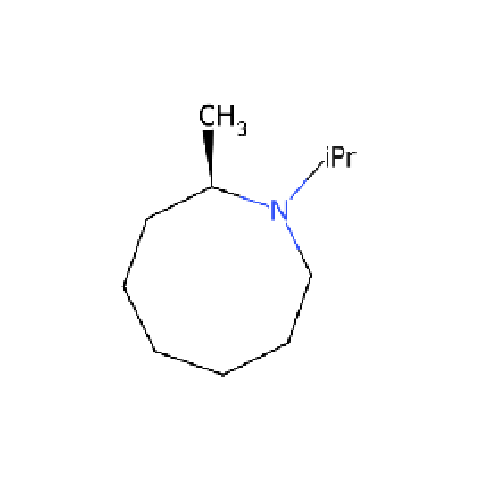 CC(C)N1CCCCCC[C@H]1C